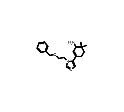 CC1(C)CCC(c2cncn2CCOCc2ccccc2)=CC1N